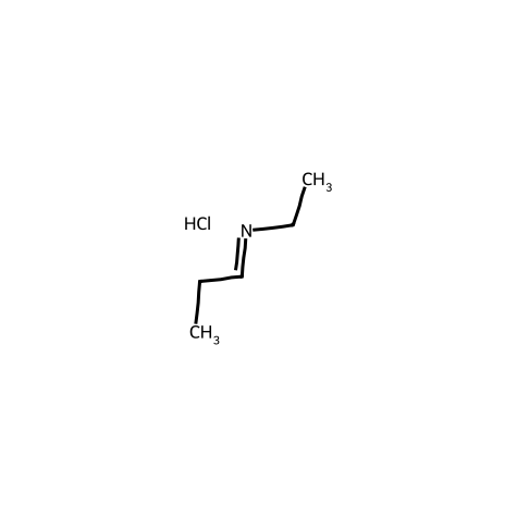 CCC=NCC.Cl